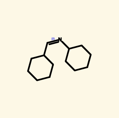 C(=N/C1CCCCC1)/C1CCCCC1